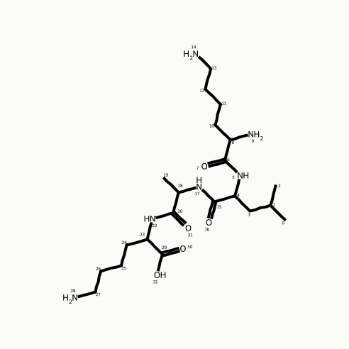 CC(C)CC(NC(=O)C(N)CCCCN)C(=O)NC(C)C(=O)NC(CCCCN)C(=O)O